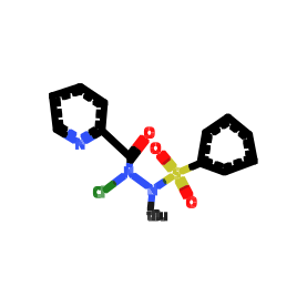 CC(C)(C)N(N(Cl)C(=O)c1ccccn1)S(=O)(=O)c1ccccc1